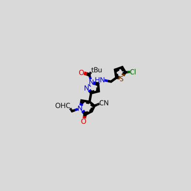 CC(C)(C)C(=O)n1nc(-c2cn(CC=O)c(=O)cc2C#N)cc1NCc1ccc(Cl)s1